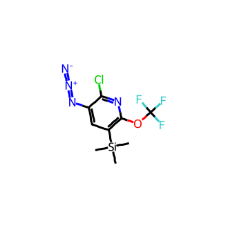 C[Si](C)(C)c1cc(N=[N+]=[N-])c(Cl)nc1OC(F)(F)F